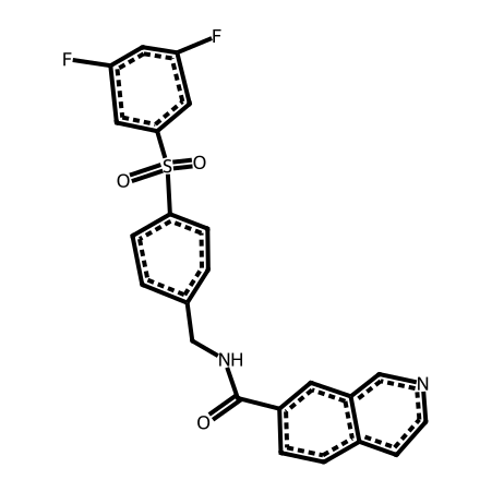 O=C(NCc1ccc(S(=O)(=O)c2cc(F)cc(F)c2)cc1)c1ccc2ccncc2c1